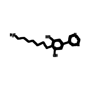 CCCCCCCCc1c(O)cc(-c2cncnc2)cc1O